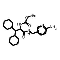 CC(C)(C)OC(=O)N[C@@H](C(=O)NCc1ccc(N)nc1)C(C1CCCCC1)C1CCCCC1